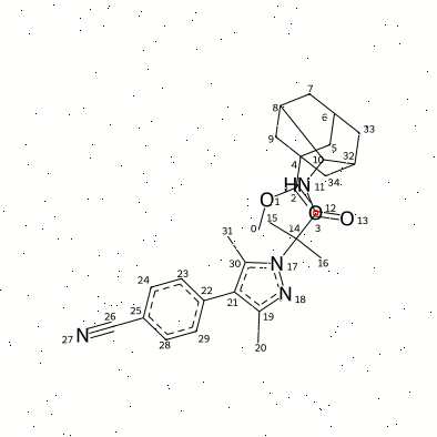 COC(=O)C12CC3CC(C1)C(NC(=O)C(C)(C)n1nc(C)c(-c4ccc(C#N)cc4)c1C)C(C3)C2